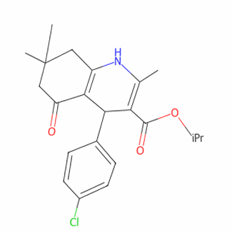 CC1=C(C(=O)OC(C)C)C(c2ccc(Cl)cc2)C2=C(CC(C)(C)CC2=O)N1